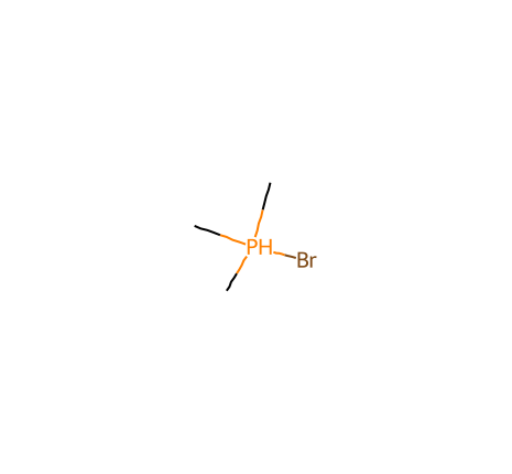 C[PH](C)(C)Br